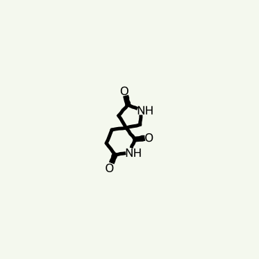 O=C1CC2(CCC(=O)NC2=O)CN1